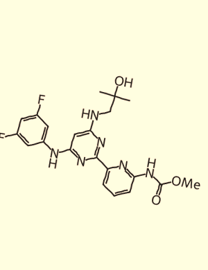 COC(=O)Nc1cccc(-c2nc(NCC(C)(C)O)cc(Nc3cc(F)cc(F)c3)n2)n1